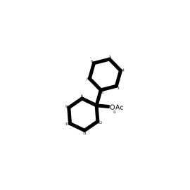 CC(=O)OC1(C2CCCCC2)CCCCC1